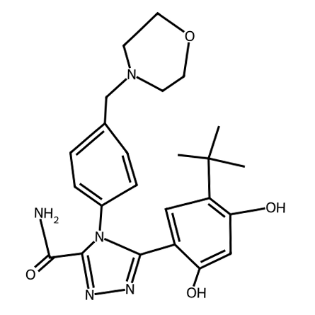 CC(C)(C)c1cc(-c2nnc(C(N)=O)n2-c2ccc(CN3CCOCC3)cc2)c(O)cc1O